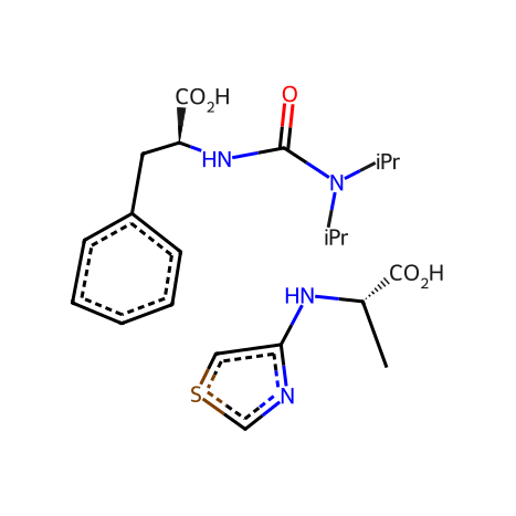 CC(C)N(C(=O)N[C@@H](Cc1ccccc1)C(=O)O)C(C)C.C[C@H](Nc1cscn1)C(=O)O